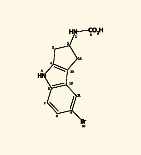 O=C(O)NC1Cc2[nH]c3ccc(Br)cc3c2C1